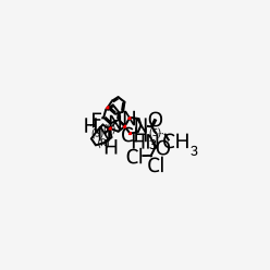 CC[C@H](NC(=O)C(Cl)Cl)C(=O)N1CCC(CCN2[C@@H]3CC[C@H]2C[C@@H](n2c(C)nc4ccccc42)C3)(c2cccc(F)c2)CC1